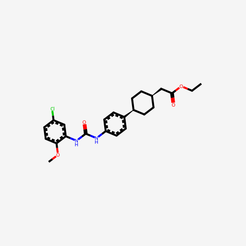 CCOC(=O)C[C@H]1CC[C@@H](c2ccc(NC(=O)Nc3cc(Cl)ccc3OC)cc2)CC1